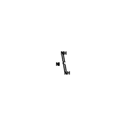 N=C=N.[Ni]